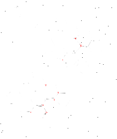 CC(=O)[O-].CC(=O)[O-].Cc1ccc(P(c2ccc(C)cc2)c2ccc3ccccc3c2-c2c(P(c3ccc(C)cc3)c3ccc(C)cc3)ccc3ccccc23)cc1.Cc1ccc(P(c2ccc(C)cc2)c2ccc3ccccc3c2-c2c(P(c3ccc(C)cc3)c3ccc(C)cc3)ccc3ccccc23)cc1.[Ru+2]